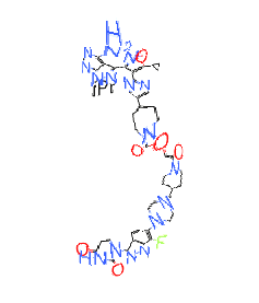 CC(C)n1nc(-c2noc(C3CC3)c2-c2ncc(C3CCN(C(=O)OCC(=O)N4CCC(CN5CCN(c6ccc7c(N8CCC(=O)NC8=O)nn(C)c7c6F)CC5)CC4)CC3)cn2)c2c(N)ncnc21